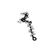 CC[C@@]1(O)C(=O)OCc2c1cc1n(c2=O)Cc2c-1nc1cc(F)c(C)c3c1c2[C@@H](NC(=O)COC1CCCN1C(=O)CNC(=O)CNC(=O)CNC(=O)CNC(=O)COC1/C=C\CCCCC1)CC3